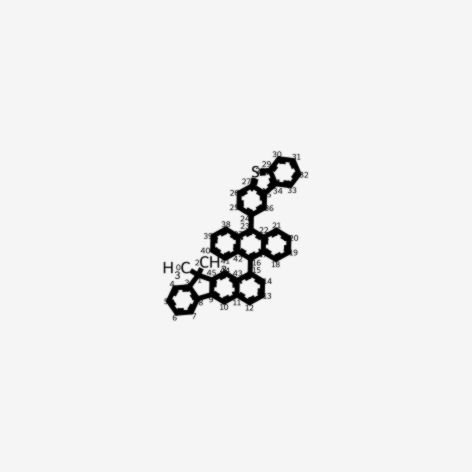 CC1(C)c2ccccc2-c2cc3cccc(-c4c5ccccc5c(-c5ccc6sc7ccccc7c6c5)c5ccccc45)c3cc21